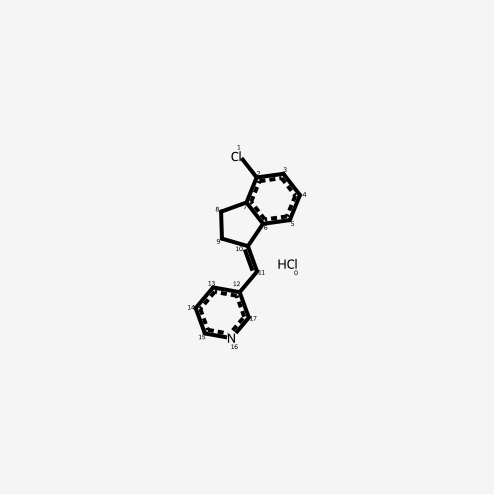 Cl.Clc1cccc2c1CCC2=Cc1cccnc1